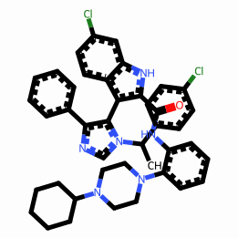 CC(c1ccc(Cl)cc1)n1cnc(-c2ccccc2)c1-c1c(C(=O)Nc2ccccc2N2CCN(C3CCCCC3)CC2)[nH]c2cc(Cl)ccc12